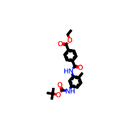 CCOC(=O)c1ccc(C(=O)Nc2cc(NC(=O)OC(C)(C)C)ccc2C)cc1